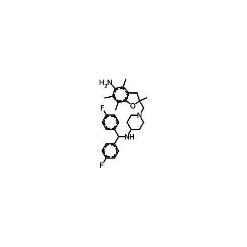 Cc1c(C)c2c(c(C)c1N)CC(C)(CN1CCC(NC(c3ccc(F)cc3)c3ccc(F)cc3)CC1)O2